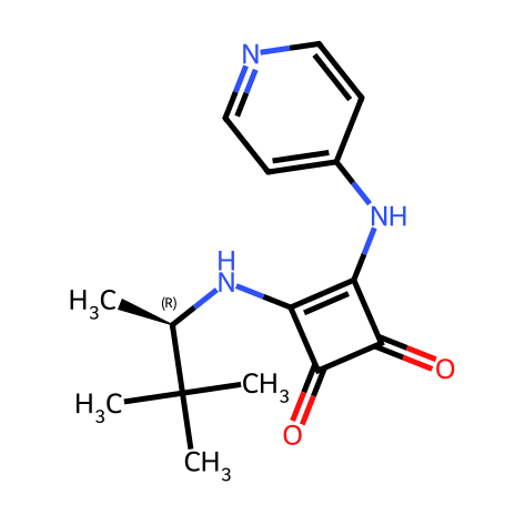 C[C@@H](Nc1c(Nc2ccncc2)c(=O)c1=O)C(C)(C)C